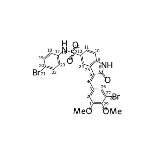 COc1cc(C=C2C(=O)Nc3ccc(S(=O)(=O)Nc4ccc(Br)cc4)cc32)cc(Br)c1OC